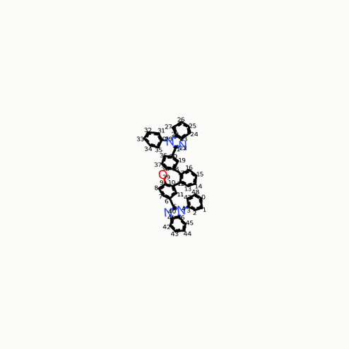 c1ccc(-n2c(-c3ccc4c(c3)-c3ccccc3-c3cc(-c5nc6ccccc6n5-c5ccccc5)ccc3O4)nc3ccccc32)cc1